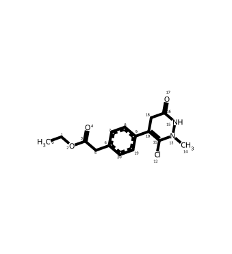 CCOC(=O)Cc1ccc(C2=C(Cl)N(C)NC(=O)C2)cc1